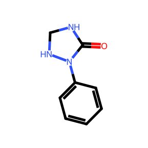 O=C1NCNN1c1ccccc1